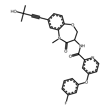 CN1C(=O)C(NC(=O)c2cc(Oc3cccc(F)c3)ccn2)COc2ccc(C#CC(C)(C)O)cc21